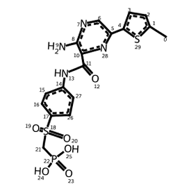 Cc1ccc(-c2cnc(N)c(C(=O)Nc3ccc(S(=O)(=O)CP(=O)(O)O)cc3)n2)s1